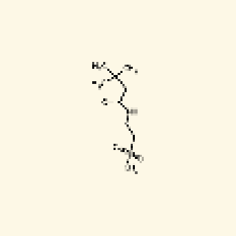 CC(C)(C)CC(=O)NCCS(C)(=O)=O